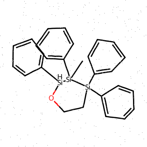 C[Si]1(c2ccccc2)[SiH](c2ccccc2)OCC[Si]1(c1ccccc1)c1ccccc1